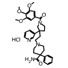 COc1cc(C(=O)N2CCC(CCN3CCC(C(N)=O)(c4ccccc4)CC3)(c3cccnc3)C2)cc(OC)c1OC.Cl